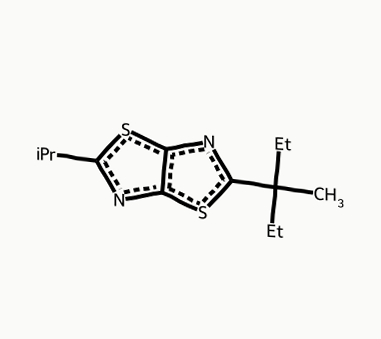 CCC(C)(CC)c1nc2sc(C(C)C)nc2s1